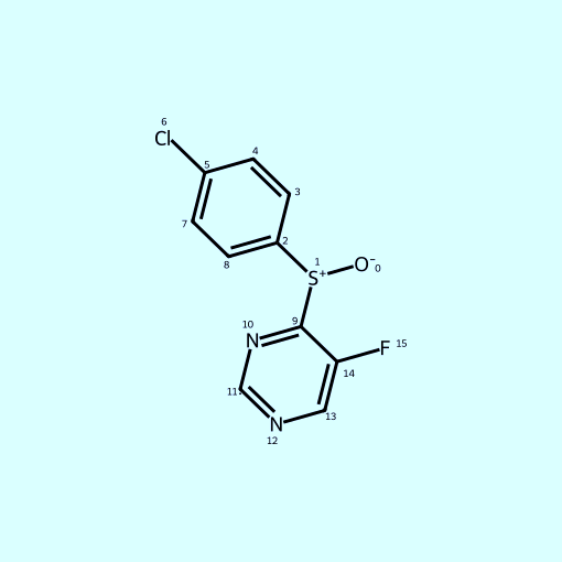 [O-][S+](c1ccc(Cl)cc1)c1n[c]ncc1F